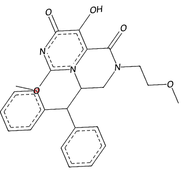 COCCN1CC(C(c2ccccc2)c2ccccc2)n2c(OC)nc(=O)c(O)c2C1=O